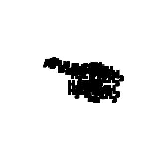 CC(C)(C)c1cccc(C(C)(C)C)c1[O-].CC(C)(C)c1cccc(C(C)(C)C)c1[O-].CCCCCCC[CH2][Al+2]